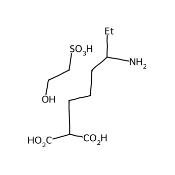 CCC(N)CCCC(C(=O)O)C(=O)O.O=S(=O)(O)CCO